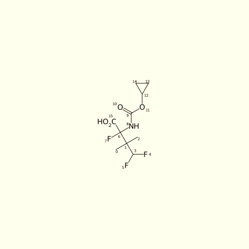 CC(C)(C(F)F)C(F)(NC(=O)OC1CC1)C(=O)O